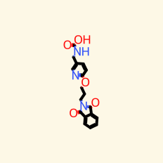 O=C(O)NCc1ccc(OCCCN2C(=O)c3ccccc3C2=O)nc1